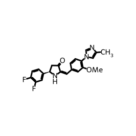 COc1cc(/C=C2/N[C@@H](c3ccc(F)c(F)c3)CC2=O)ccc1-n1cnc(C)c1